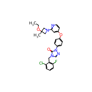 CCOC1(C)CN(c2cc(Oc3ccc(-n4ncn(Cc5c(F)cccc5Cl)c4=O)cc3)ccn2)C1